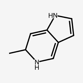 CC1C=c2[nH]ccc2=CN1